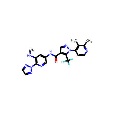 CNc1cc(NC(=O)c2cnn(-c3ccnc(C)c3C)c2C(F)(F)F)cnc1-n1nccn1